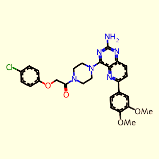 COc1ccc(-c2ccc3nc(N)nc(N4CCN(C(=O)COc5ccc(Cl)cc5)CC4)c3n2)cc1OC